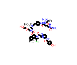 Cc1cccc2c(OC(=O)N(CCOCCO)CCN(CCc3ccc(NC(=O)C(CCCNC(N)=O)NC(=O)C(N)C(C)C)cc3)C(=O)O)cc3c(c12)[C@H](CCl)CN3C(=O)c1cn2cc(NC(=O)c3ccc(O)cc3)ccc2n1